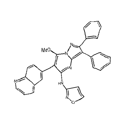 COc1c(-c2ccc3ncccc3c2)c(Nc2ccon2)nc2c(-c3ccccc3)c(-c3ccccc3)nn12